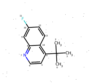 CC(C)(C)c1ccnc2cc(F)ccc12